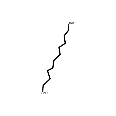 COCCCC[CH]CCCCCOC